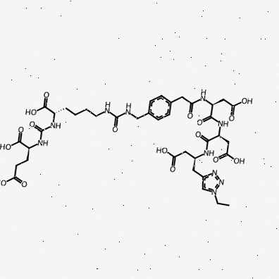 CCn1cc(C[C@@H](CC(=O)O)NC(=O)[C@H](CC(=O)O)NC(=O)[C@H](CC(=O)O)NC(=O)Cc2ccc(CNC(=O)NCCCC[C@H](NC(=O)N[C@@H](CCC(=O)O)C(=O)O)C(=O)O)cc2)nn1